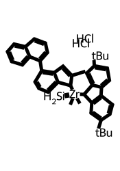 CC1=Cc2c(-c3cccc4ccccc34)cccc2[CH]1[Zr]([CH3])([CH3])(=[SiH2])[CH]1c2cc(C(C)(C)C)ccc2-c2ccc(C(C)(C)C)cc21.Cl.Cl